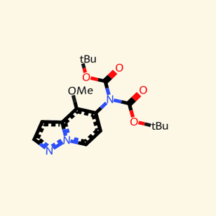 COc1c(N(C(=O)OC(C)(C)C)C(=O)OC(C)(C)C)ccn2nccc12